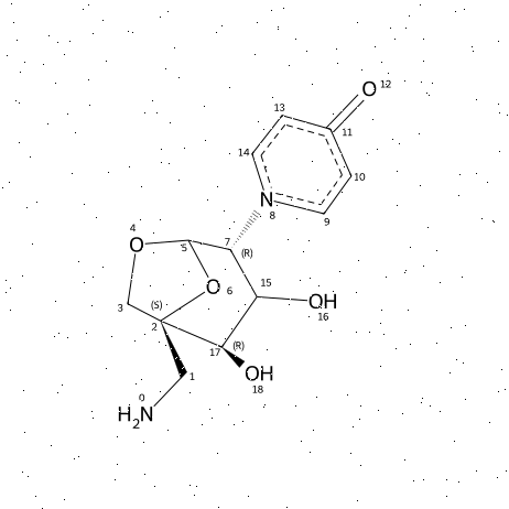 NC[C@@]12COC(O1)[C@H](n1ccc(=O)cc1)C(O)[C@H]2O